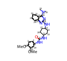 COc1ccc(NC(=O)NC2CCC(Nc3nc(N(C)C)c4ccccc4n3)CC2)cc1OC